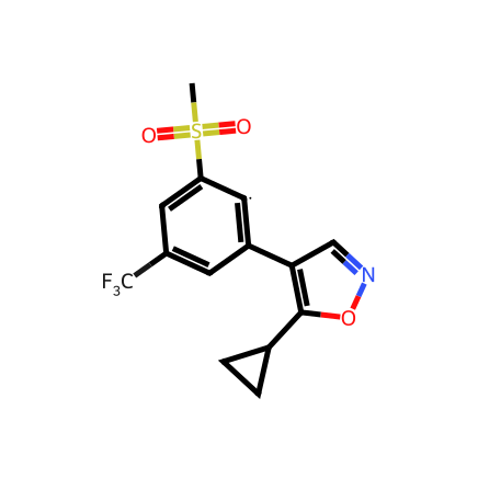 CS(=O)(=O)c1[c]c(-c2cnoc2C2CC2)cc(C(F)(F)F)c1